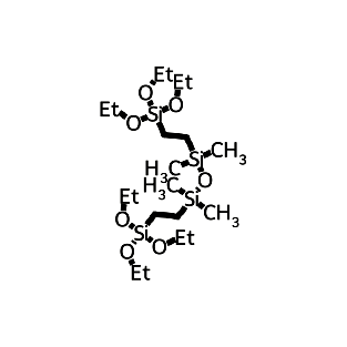 CCO[Si](CC[Si](C)(C)O[Si](C)(C)CC[Si](OCC)(OCC)OCC)(OCC)OCC